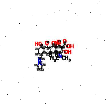 CN(C)[C@@H]1C(O)=C(C(=O)O)C(=O)[C@@]2(O)C(O)=C3C(=O)c4c(O)ccc(C=Nn5cccc5)c4C[C@H]3C[C@@H]12